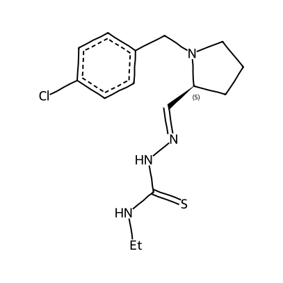 CCNC(=S)NN=C[C@@H]1CCCN1Cc1ccc(Cl)cc1